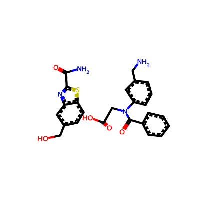 NC(=O)c1nc2cc(CO)ccc2s1.NCc1cccc(N(CC(=O)O)C(=O)c2ccccc2)c1